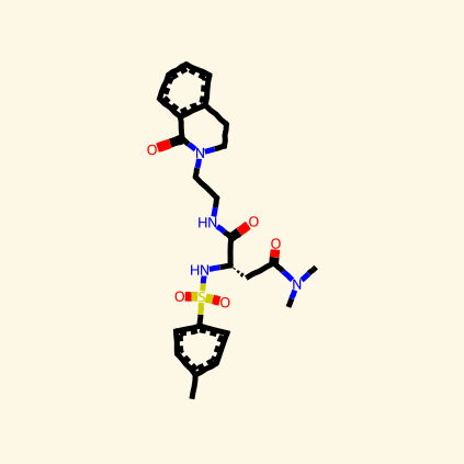 Cc1ccc(S(=O)(=O)N[C@@H](CC(=O)N(C)C)C(=O)NCCN2CCc3ccccc3C2=O)cc1